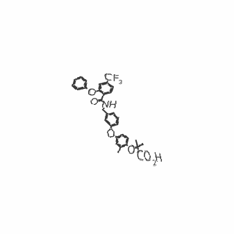 Cc1cc(Oc2cccc(CNC(=O)c3ccc(C(F)(F)F)cc3Oc3ccccc3)c2)ccc1OC(C)(C)C(=O)O